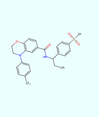 CCS(=O)(=O)c1ccc(C(CC#N)NC(=O)c2ccc3c(c2)N(c2ccc(C(F)(F)F)cc2)CCO3)cc1